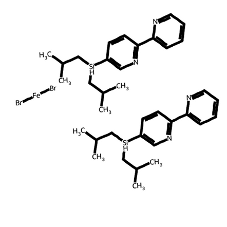 CC(C)C[SiH](CC(C)C)c1ccc(-c2ccccn2)nc1.CC(C)C[SiH](CC(C)C)c1ccc(-c2ccccn2)nc1.[Br][Fe][Br]